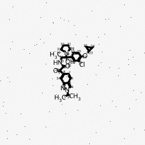 CC(C)n1cc2ccc(C(=O)C(=O)N[C@H](C)[C@](O)(c3ccc(OC4CC4)c(Cl)c3)N3CCCC3)cc2n1